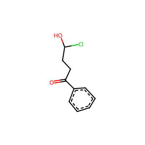 O=C(CCC(O)Cl)c1ccccc1